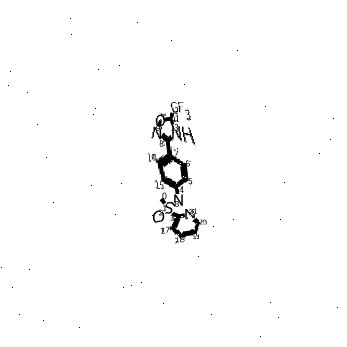 CS(=O)(=Nc1ccc(C2=NOC(C(F)(F)F)N2)cc1)c1ccccn1